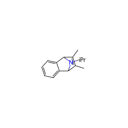 CC1=C(C)C2c3ccccc3C1N2C(C)C